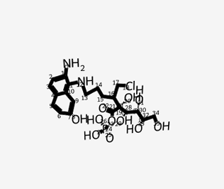 Nc1ccc2ccc(O)cc2c1NCCCC(CCl)[C@](O)(C(=O)OP(=O)(O)O)[C@@H](O)[C@H](O)[C@H](O)CO